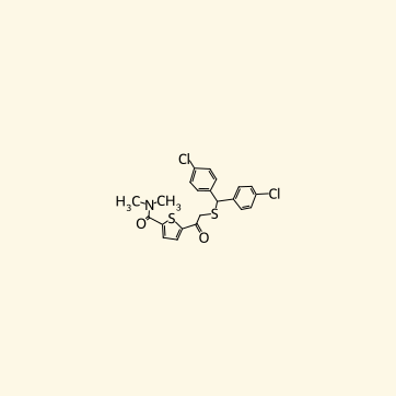 CN(C)C(=O)c1ccc(C(=O)CSC(c2ccc(Cl)cc2)c2ccc(Cl)cc2)s1